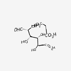 O=C(O)CC(=O)O.O=C[C@H](O)[C@@H](O)[C@H](O)[C@H](O)C(=O)O